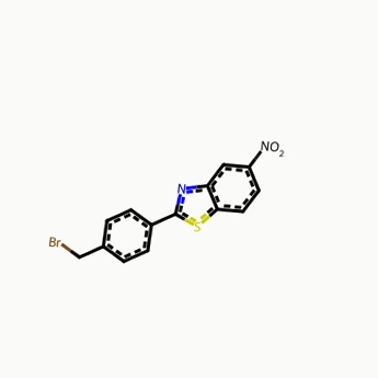 O=[N+]([O-])c1ccc2sc(-c3ccc(CBr)cc3)nc2c1